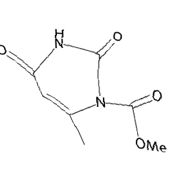 COC(=O)n1c(C)cc(=O)[nH]c1=O